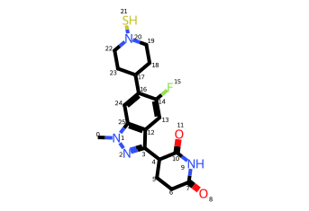 Cn1nc(C2CCC(=O)NC2=O)c2cc(F)c(C3CCN(S)CC3)cc21